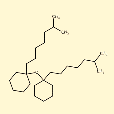 CC(C)CCCCCC1(OC2(CCCCCC(C)C)CCCCC2)CCCCC1